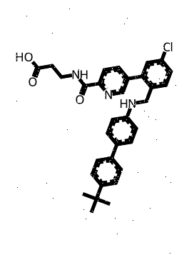 CC(C)(C)c1ccc(-c2ccc(NCc3ccc(Cl)cc3-c3ccc(C(=O)NCCC(=O)O)nc3)cc2)cc1